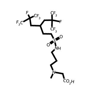 CN(CCCNS(=O)(=O)CCC(CC(F)(C(F)(F)F)C(F)(F)F)CC(F)(C(F)(F)F)C(F)(F)F)CC(=O)O